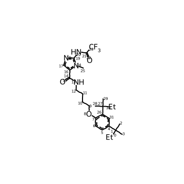 CCC(C)(C)c1ccc(OCCCCNC(=O)c2cnc(NC(=O)C(F)(F)F)n2C)c(C(C)(C)CC)c1